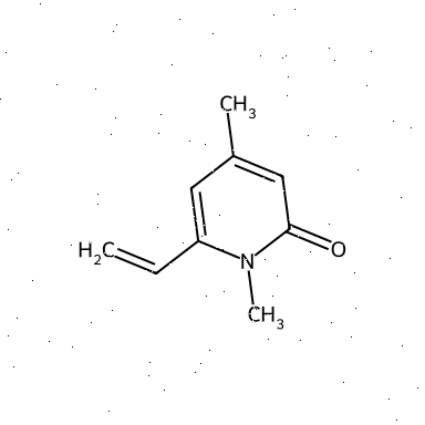 C=Cc1cc(C)cc(=O)n1C